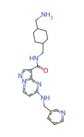 NCC1CCC(CNC(=O)c2cnn3ccc(NCc4cccnc4)nc23)CC1